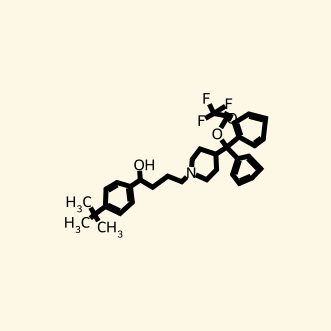 CC(C)(C)c1ccc(C(O)CCCN2CCC(C(OC(=O)C(F)(F)F)(c3ccccc3)c3ccccc3)CC2)cc1